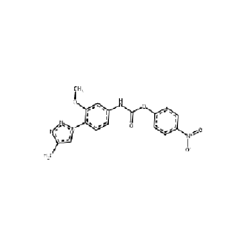 COc1cc(NC(=O)Oc2ccc([N+](=O)[O-])cc2)ccc1-n1cc(C)nn1